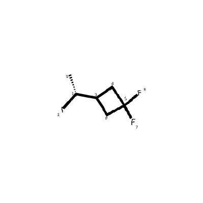 C[C@@H](I)C1CC(F)(F)C1